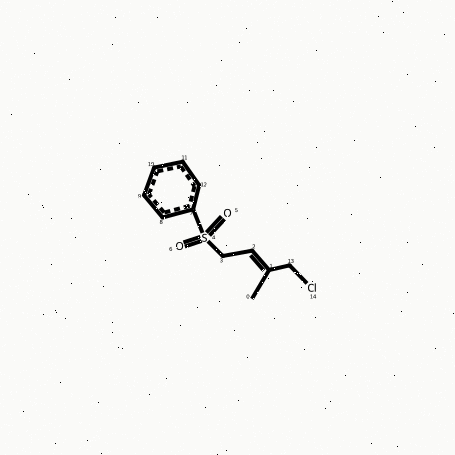 C/C(=C\CS(=O)(=O)c1ccccc1)CCl